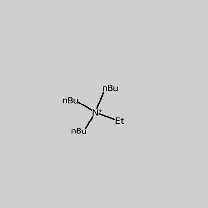 [CH2]C[N+](CCCC)(CCCC)CCCC